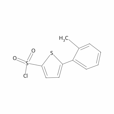 Cc1ccccc1-c1ccc(S(=O)(=O)Cl)s1